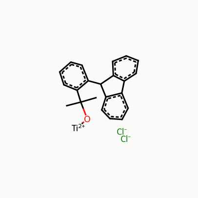 CC(C)([O][Ti+2])c1ccccc1C1c2ccccc2-c2ccccc21.[Cl-].[Cl-]